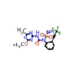 COc1nc(C)nc(NC(=O)N(c2ccccc2C#CC(F)(F)F)S(N)(=O)=O)n1